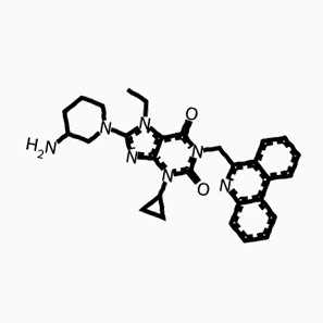 CCn1c(N2CCCC(N)C2)nc2c1c(=O)n(Cc1nc3ccccc3c3ccccc13)c(=O)n2C1CC1